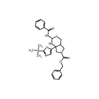 C[Si](C)(C)c1ncc(C23CN(C(=O)OCc4ccccc4)CC2CSC(NC(=O)c2ccccc2)N3)s1